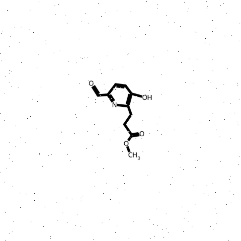 COC(=O)CCc1nc(C=O)ccc1O